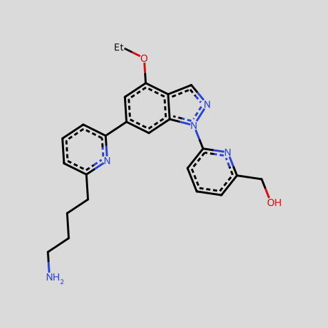 CCOc1cc(-c2cccc(CCCCN)n2)cc2c1cnn2-c1cccc(CO)n1